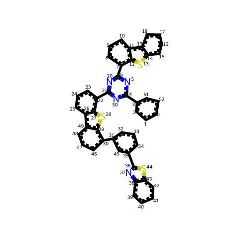 c1ccc(-c2nc(-c3cccc4c3sc3ccccc34)nc(-c3cccc4c3sc3c(-c5cccc(-c6nc7ccccc7s6)c5)cccc34)n2)cc1